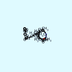 C/C1=C\C=C\[C@@H](C)[C@@]2(O)CC(OC(=O)N2)[C@@H](C)[C@@H]2O[C@@]2(C)[C@@H](OC(=O)[C@H](C)OCCOCCSC2CC(=O)N(C[C@H]3CC[C@H](C(=O)ON4CCCC4=O)CC3)C2=O)CC(=O)N(C)c2cc(cc(C)c2Cl)C1